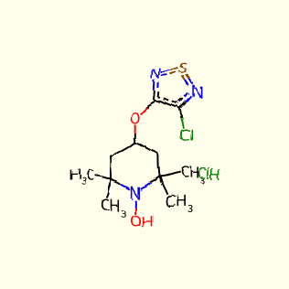 CC1(C)CC(Oc2nsnc2Cl)CC(C)(C)N1O.Cl